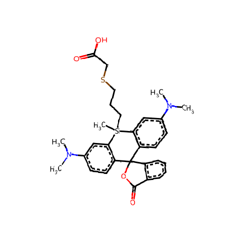 CN(C)c1ccc2c(c1)[Si](C)(CCCSCC(=O)O)c1cc(N(C)C)ccc1C21OC(=O)c2ccccc21